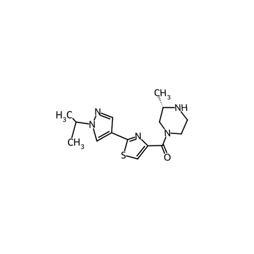 CC(C)n1cc(-c2nc(C(=O)N3CCN[C@@H](C)C3)cs2)cn1